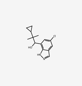 CC(C)(C1CC1)C(O)c1cc(Cl)cc2cn[nH]c12